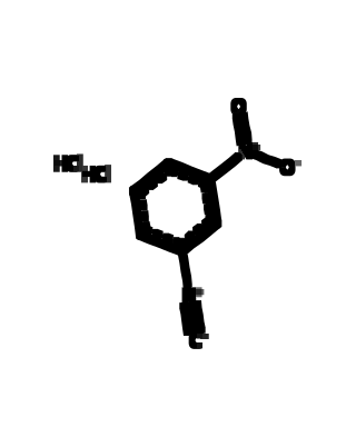 Cl.Cl.[C-]#[N+]c1cccc([N+](=O)[O-])c1